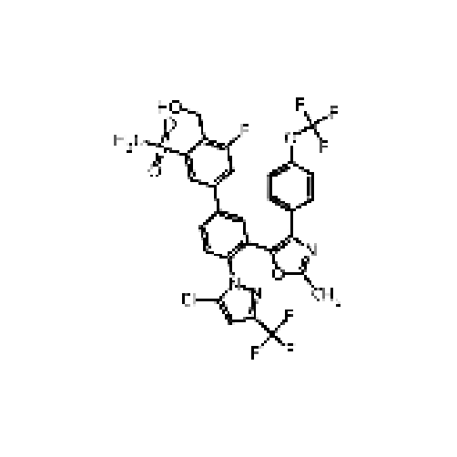 Cc1nc(-c2ccc(OC(F)(F)F)cc2)c(-c2cc(-c3cc(F)c(CO)c(S(C)(=O)=O)c3)ccc2-n2nc(C(F)(F)F)cc2Cl)o1